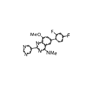 CNc1nc(-c2cncnc2)nc2c(OC)cc(-c3ccc(F)cc3F)cc12